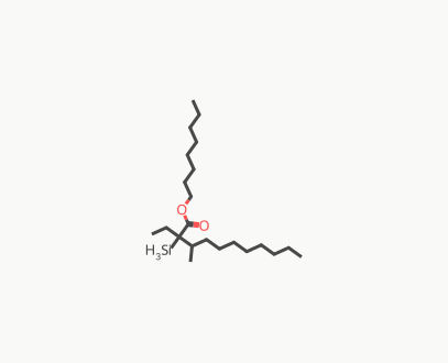 CCCCCCCCOC(=O)C([SiH3])(CC)C(C)CCCCCCCC